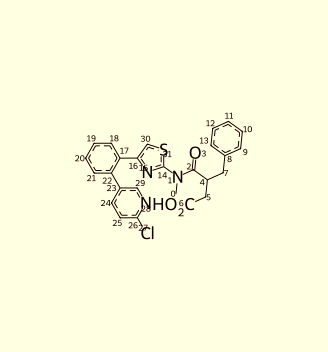 CN(C(=O)C(CC(=O)O)Cc1ccccc1)c1nc(-c2ccccc2-c2ccc(Cl)nc2)cs1